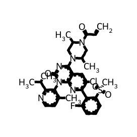 C=CC(=O)N1CC(C)N(c2nc(=O)n(-c3c(C)ccnc3C(C)C)c3nc(-c4c(F)cccc4S(C)(=O)=O)c(Cl)cc23)CC1C